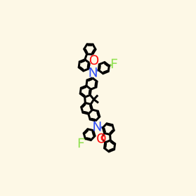 CC1(C)c2c(ccc3cc(N(c4ccc(F)cc4)c4cccc5c4oc4ccccc45)ccc23)-c2ccc3cc(N(c4ccc(F)cc4)c4cccc5c4oc4ccccc45)ccc3c21